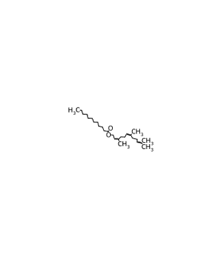 CCCCCCCCCCCC(=O)OCC=C(C)CCC=C(C)CCC=C(C)C